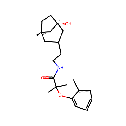 Cc1ccccc1OC(C)(C)C(=O)NCCC1C[C@@H]2CC[C@@](O)(C1)C2